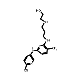 N#Cc1ccc(Nc2ncc(C(F)(F)F)c(NCCCNCCO)n2)cn1